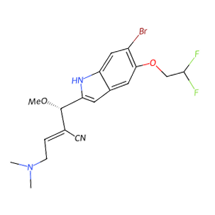 CO[C@@H](/C(C#N)=C/CN(C)C)c1cc2cc(OCC(F)F)c(Br)cc2[nH]1